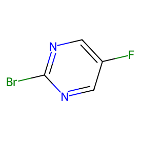 Fc1cnc(Br)nc1